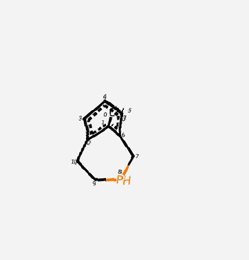 Cc1c2cccc1CPCC2